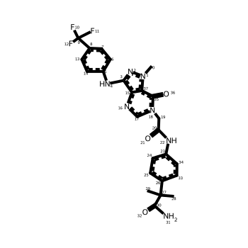 Cn1nc(Nc2ccc(C(F)(F)F)cc2)c2ncn(CC(=O)Nc3ccc(C(C)(C)C(N)=O)cc3)c(=O)c21